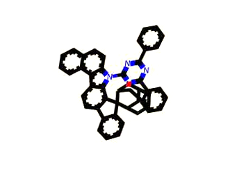 c1ccc(-c2nc(-c3ccccc3)nc(-n3c4ccc5ccccc5c4c4ccc5c(c43)C3(c4ccccc4-5)C4CC5CC(C4)CC3C5)n2)cc1